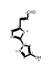 O=C/C=C/c1cnc(-n2cc(O)cn2)s1